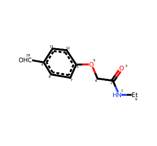 CCNC(=O)COc1ccc(C=O)cc1